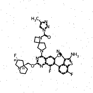 Cc1cn(C(=O)N2CCC23CCN(c2nc(OC[C@@]45CCCN4C[C@H](F)C5)nc4c(F)c(-c5ccc(F)c6sc(N)c(C#N)c56)c(Cl)cc24)C3)nn1